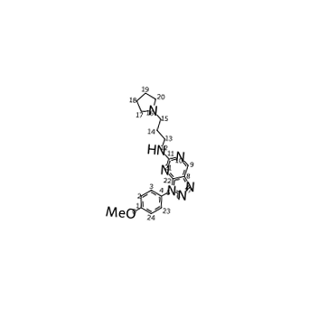 COc1ccc(-n2nnc3cnc(NCCCN4CCCC4)nc32)cc1